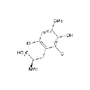 CN[C@H](Cc1c(Cl)cc(OC)c(O)c1Cl)C(=O)O